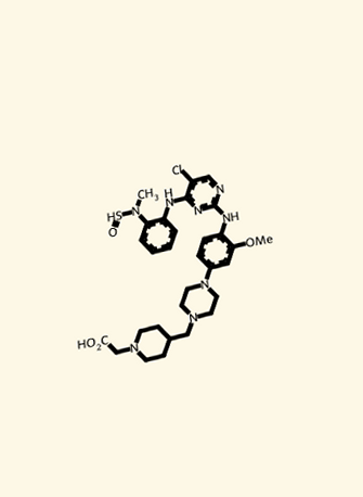 COc1cc(N2CCN(CC3CCN(CC(=O)O)CC3)CC2)ccc1Nc1ncc(Cl)c(Nc2ccccc2N(C)[SH]=O)n1